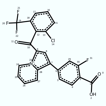 O=C(O)c1ccc(-c2cc(C(=O)c3c(Cl)cccc3C(F)(F)F)n3ccccc23)cc1F